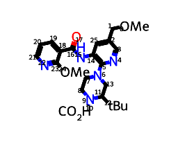 COCc1cnc(N2CCN(C(=O)O)C(C(C)(C)C)C2)c(NC(=O)c2cccnc2OC)c1